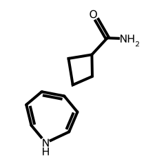 C1=CC=CNC=C1.NC(=O)C1CCC1